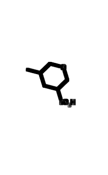 CC1COCC(S(=O)(=O)O)C1